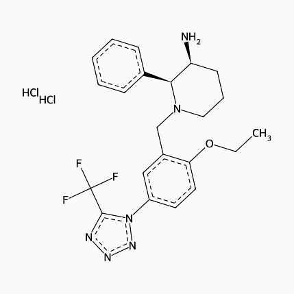 CCOc1ccc(-n2nnnc2C(F)(F)F)cc1CN1CCC[C@H](N)[C@@H]1c1ccccc1.Cl.Cl